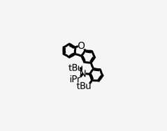 CC(C)N(c1c(-c2ccc3oc4ccccc4c3c2)cccc1C(C)(C)C)C(C)(C)C